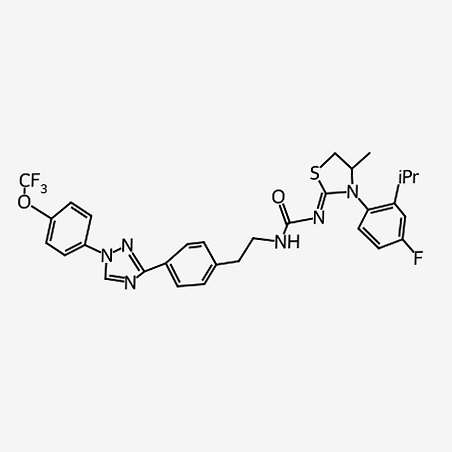 CC(C)c1cc(F)ccc1N1/C(=N/C(=O)NCCc2ccc(-c3ncn(-c4ccc(OC(F)(F)F)cc4)n3)cc2)SCC1C